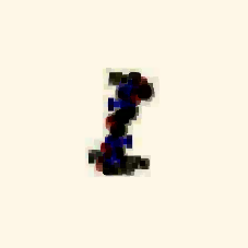 COC[C@H]1C[C@@H](c2ncc(-c3ccc4c(c3)OCc3cc5c(ccc6nc([C@@H]7CCCN7C(=O)[C@H](NC(=O)OC)c7ccccc7)[nH]c65)cc3-4)[nH]2)N(C(=O)[C@@H](NC(=O)OC)C(C)C)C1